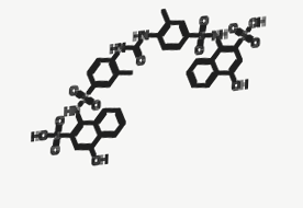 Cc1cc(S(=O)(=O)Nc2c(S(=O)(=O)O)cc(O)c3ccccc23)ccc1NC(=O)Nc1ccc(S(=O)(=O)Nc2c(S(=O)(=O)O)cc(O)c3ccccc23)cc1C